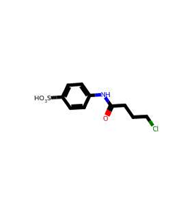 O=C(CCCCl)Nc1ccc(S(=O)(=O)O)cc1